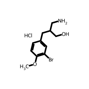 COc1ccc(CC(CN)CO)cc1Br.Cl